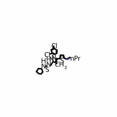 CCC/C=C/c1ccc(-c2c(C)c(CNC(=S)NC3CCCCC3)nn2-c2ccc(Cl)cc2Cl)s1